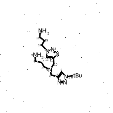 CC(C)(C)n1cc(CN(CCCN)Cc2cn(CCCN)nn2)nn1